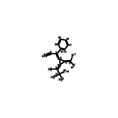 N#C/C(=C1/C(=C(F)F)/C1=C(/I)C(F)(F)F)c1ccccc1